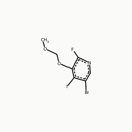 COCOc1c(F)ncc(Br)c1I